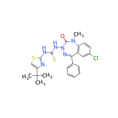 CN1C(=O)N(NC(=S)Nc2nc(C(C)(C)C)cs2)N=C(c2ccccc2)c2cc(Cl)ccc21